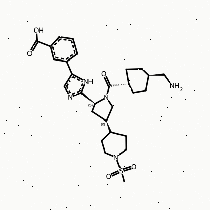 CS(=O)(=O)N1CCC([C@H]2C[C@@H](c3ncc(-c4cccc(C(=O)O)c4)[nH]3)N(C(=O)[C@H]3CC[C@H](CN)CC3)C2)CC1